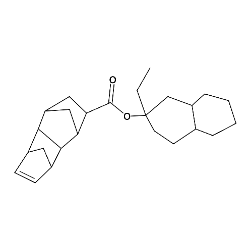 CCC1(OC(=O)C2CC3CC2C2C4C=CC(C4)C32)CCC2CCCCC2C1